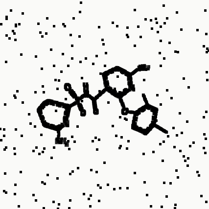 Cc1ccc(Oc2nc(C(C)(C)C)ccc2C(=O)NS(=O)(=O)c2cccc(N)n2)c(C)c1